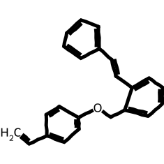 C=Cc1ccc(OCc2ccccc2C=Cc2ccccc2)cc1